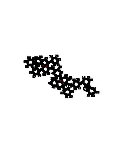 Cc1cc(-c2ccc(N(c3ccc(-c4cccc5c4oc4ccccc45)cc3)c3ccccc3-c3ccc4ccccc4c3)c(C)c2)ccc1N(c1ccc(-c2cccc3c2oc2ccccc23)cc1)c1ccccc1-c1ccc2ccccc2c1